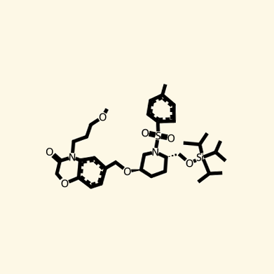 COCCCN1C(=O)COc2ccc(CO[C@@H]3CC[C@@H](CO[Si](C(C)C)(C(C)C)C(C)C)N(S(=O)(=O)c4ccc(C)cc4)C3)cc21